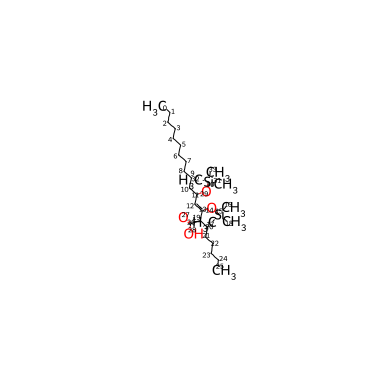 CCCCCCCCCCCC(C=C(O[Si](C)(C)C)C(CCCCCC)C(=O)O)O[Si](C)(C)C